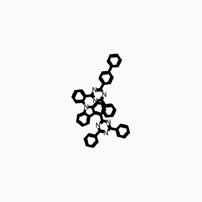 c1ccc(-c2ccc(-c3nc(-c4ccccc4)nc(-c4ccccc4-n4c5ccccc5c5c(-c6nc(-c7ccccc7)nc(-c7ccccc7)n6)cccc54)n3)cc2)cc1